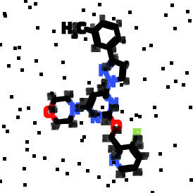 Cc1cccc(-c2ccn(-c3cc(N4CCOCC4)nc(OCc4ncccc4F)n3)n2)c1